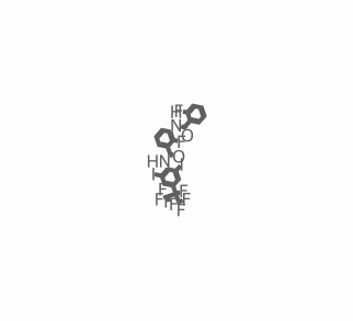 O=C(Nc1cccc(C(=O)Nc2c(I)cc(C(F)(C(F)(F)F)C(F)(F)F)cc2I)c1F)c1ccccc1F